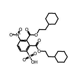 O=C(OCCC1CCCCC1)c1c([N+](=O)[O-])ccc(S(=O)(=O)O)c1C(=O)OCCC1CCCCC1